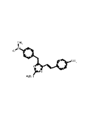 CC(=O)Nc1nc(/C=C/c2ccc([N+](=O)[O-])cc2)c(Cc2ccc([S+](C)[O-])cc2)s1